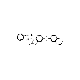 CC1Cc2cc(S(=O)(=O)c3ccc4c(c3)OCCO4)ccc2N1S(=O)(=O)Cc1ccccc1